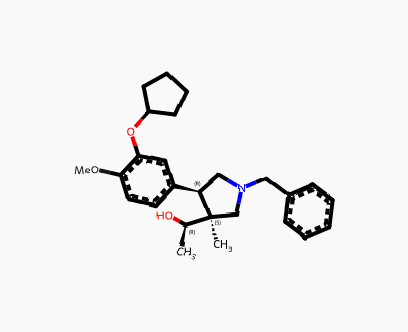 COc1ccc([C@H]2CN(Cc3ccccc3)C[C@@]2(C)[C@@H](C)O)cc1OC1CCCC1